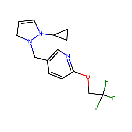 FC(F)(F)COc1ccc(CN2CC=CN2C2CC2)cn1